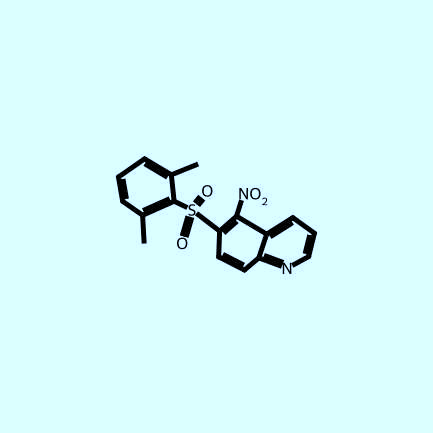 Cc1cccc(C)c1S(=O)(=O)c1ccc2ncccc2c1[N+](=O)[O-]